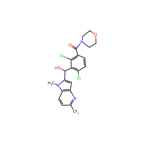 Cn1c(C(O)c2c(Cl)ccc(C(=O)N3CCOCC3)c2Cl)cc2nc(C(F)(F)F)ccc21